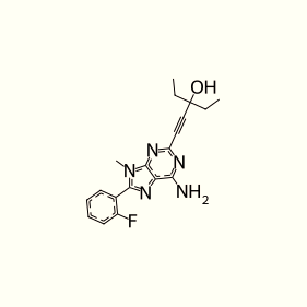 CCC(O)(C#Cc1nc(N)c2nc(-c3ccccc3F)n(C)c2n1)CC